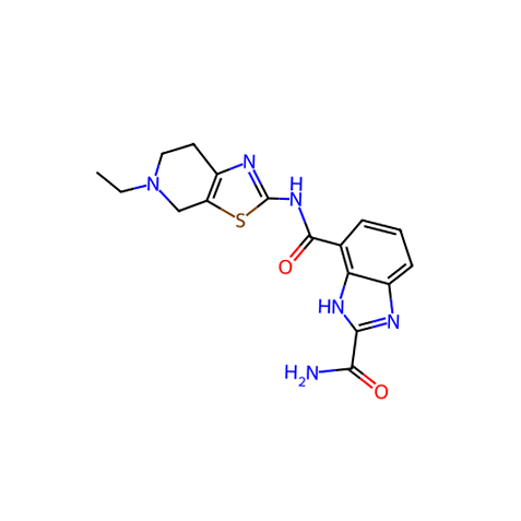 CCN1CCc2nc(NC(=O)c3cccc4nc(C(N)=O)[nH]c34)sc2C1